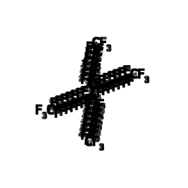 FC(F)(F)C(F)(F)C(F)(F)C(F)(F)C(F)(F)C(F)(F)C(F)(F)C(F)(F)C=C(C(=CC(F)(F)C(F)(F)C(F)(F)C(F)(F)C(F)(F)C(F)(F)C(F)(F)C(F)(F)F)C(F)(F)C(F)(F)C(F)(F)C(F)(F)C(F)(F)C(F)(F)C(F)(F)C(F)(F)F)C(F)(F)C(F)(F)C(F)(F)C(F)(F)C(F)(F)C(F)(F)C(F)(F)C(F)(F)F